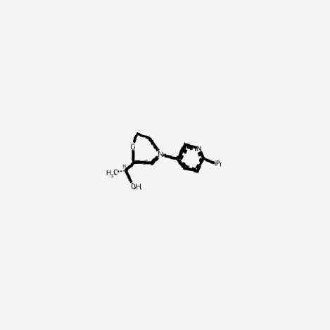 CC(C)c1ccc(N2CCOC([C@@H](C)O)C2)cn1